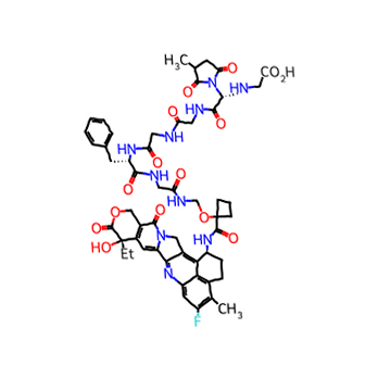 CC[C@@]1(O)C(=O)OCc2c1cc1n(c2=O)Cc2c-1nc1cc(F)c(C)c3c1c2[C@@H](NC(=O)C1(OCNC(=O)CNC(=O)[C@H](Cc2ccccc2)NC(=O)CNC(=O)CNC(=O)[C@@H](CNCC(=O)O)N2C(=O)CC(C)C2=O)CCC1)CC3